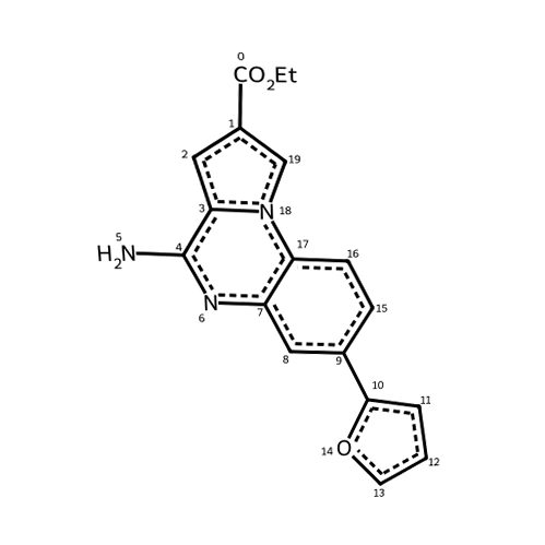 CCOC(=O)c1cc2c(N)nc3cc(-c4ccco4)ccc3n2c1